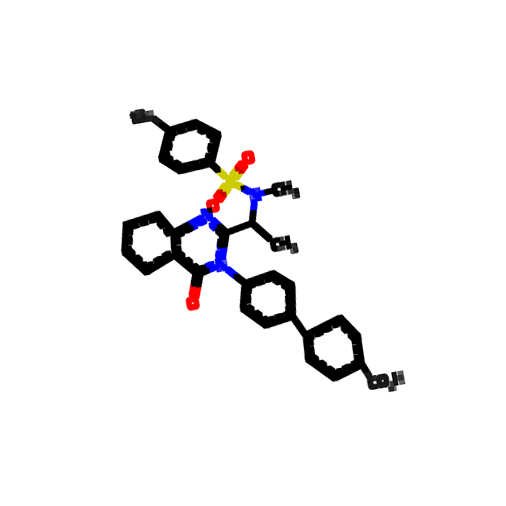 CC(c1nc2ccccc2c(=O)n1-c1ccc(-c2ccc(C(=O)O)cc2)cc1)N(C)S(=O)(=O)c1ccc(C(C)(C)C)cc1